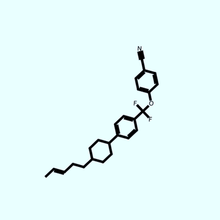 CC=CCCC1CCC(c2ccc(C(F)(F)Oc3ccc(C#N)cc3)cc2)CC1